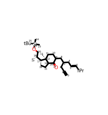 C#CCC(C/C=C/C(C)C)CC1CC[C@@]2(C)C(CC[C@@H]2[C@H](C)CO[Si](C)(C)C(C)(C)C)C1=O